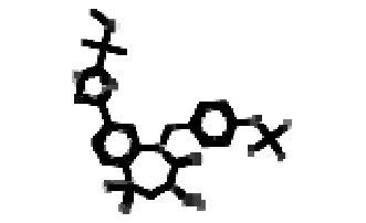 CNC(C)(C)c1nnc(-c2ccc3c(c2)N(Cc2ccc(OC(F)(F)F)cc2)C(=O)[C@@H](N)CS3(=O)=O)o1